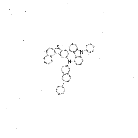 c1ccc(-c2ccc3cc(N(c4ccc5sc6ccc7ccccc7c6c5c4)c4cccc5c4c4ccccc4n5-c4ccccc4)ccc3c2)cc1